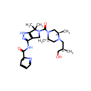 C[C@@H](CO)CN1C[C@H](C)N(C(=O)N2Cc3c(NC(=O)c4ccccn4)n[nH]c3C2(C)C)C[C@H]1C